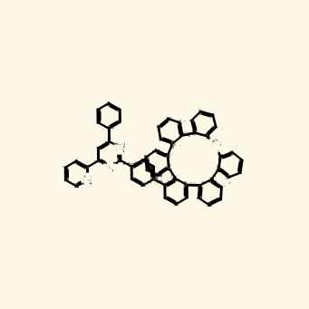 c1ccc(-c2cc(-c3ccccn3)nc(-c3ccc(-c4cccc5c6ccccc6c6ccccc6oc6ccccc6c6ccccc6c6ccccc6c45)cc3)n2)cc1